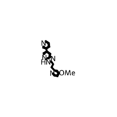 COc1ccnc(CCc2nc3cc(-c4cccnc4)cnc3[nH]2)c1